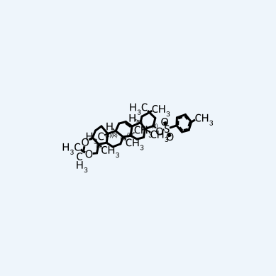 Cc1ccc(S(=O)(=O)O[C@@H]2CC(C)(C)C[C@@H]3C4=CC[C@@H]5[C@@]6(C)CCC7OC(C)(C)OC[C@@]7(C)C6CC[C@@]5(C)[C@]4(C)CC[C@]32C)cc1